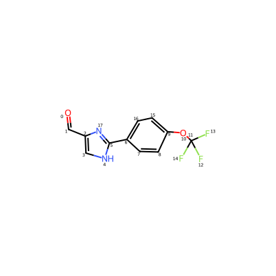 O=Cc1c[nH]c(-c2ccc(OC(F)(F)F)cc2)n1